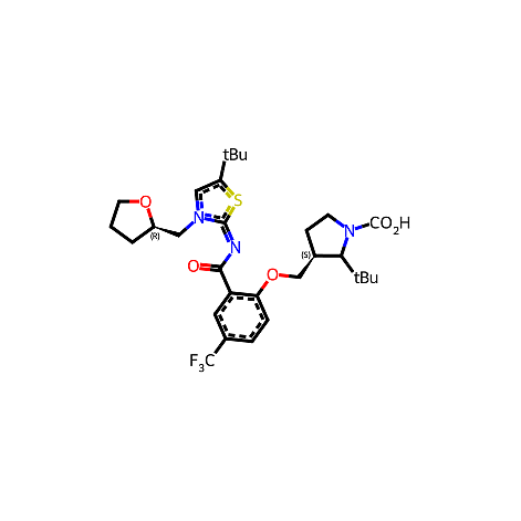 CC(C)(C)c1cn(C[C@H]2CCCO2)c(=NC(=O)c2cc(C(F)(F)F)ccc2OC[C@H]2CCN(C(=O)O)C2C(C)(C)C)s1